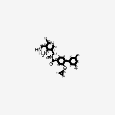 Cc1cc(F)cc(-c2ccc(C(=O)N(C)Cc3cnc(C)c(C=N)c3N)cc2OC2CC2)c1